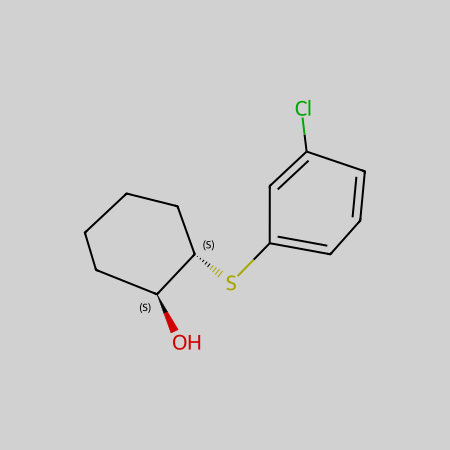 O[C@H]1CCCC[C@@H]1Sc1cccc(Cl)c1